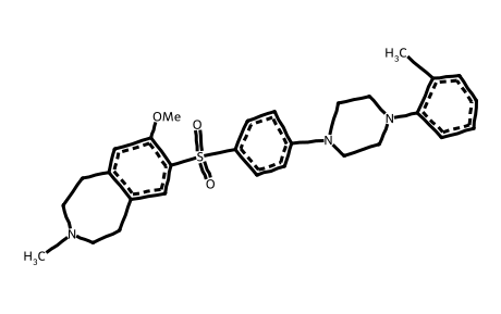 COc1cc2c(cc1S(=O)(=O)c1ccc(N3CCN(c4ccccc4C)CC3)cc1)CCN(C)CC2